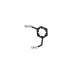 COc1cccc(CC=O)c1